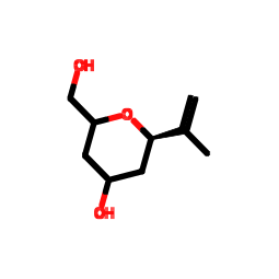 C=C(C)[C@H]1CC(O)CC(CO)O1